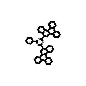 c1ccc(-c2nc(-c3cc4c5ccccc5c5ccccc5c4c4ccccc34)nc(-c3cc4c5ccccc5c5ccccc5c4c4ccccc34)n2)cc1